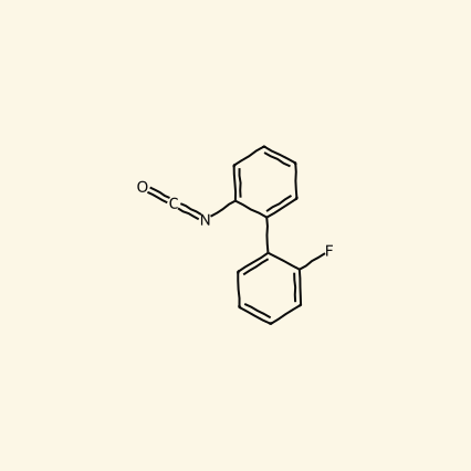 O=C=Nc1ccccc1-c1ccccc1F